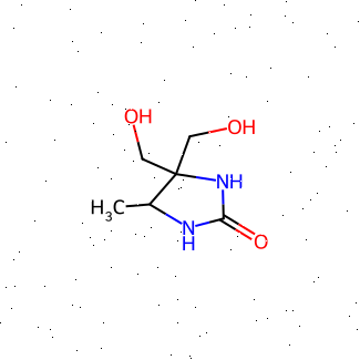 CC1NC(=O)NC1(CO)CO